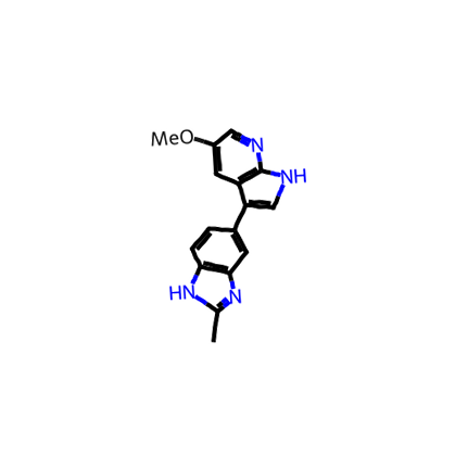 COc1cnc2[nH]cc(-c3ccc4[nH]c(C)nc4c3)c2c1